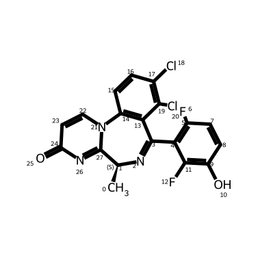 C[C@@H]1N=C(c2c(F)ccc(O)c2F)c2c(ccc(Cl)c2Cl)-n2ccc(=O)nc21